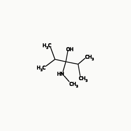 CNC(O)(C(C)C)C(C)C